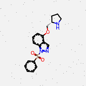 O=S(=O)(c1ccccc1)n1ncc2c(OC[C@@H]3CCCN3)cccc21